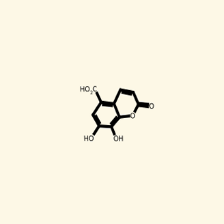 O=C(O)c1cc(O)c(O)c2oc(=O)ccc12